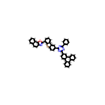 c1ccc(-c2nc(-c3ccc4sc5c(-c6nc7ccc8ccccc8c7o6)cccc5c4c3)nc(-c3ccc4c5ccccc5c5ccccc5c4c3)n2)cc1